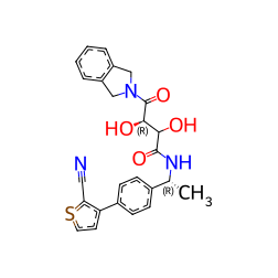 C[C@@H](NC(=O)C(O)[C@@H](O)C(=O)N1Cc2ccccc2C1)c1ccc(-c2ccsc2C#N)cc1